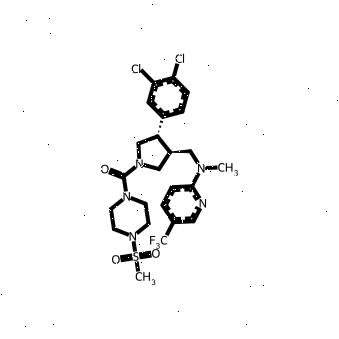 CN(C[C@H]1CN(C(=O)N2CCN(S(C)(=O)=O)CC2)C[C@@H]1c1ccc(Cl)c(Cl)c1)c1ccc(C(F)(F)F)cn1